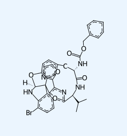 CC(C)[C@@H]1NC(=O)[C@@H](NC(=O)OCc2ccccc2)Cc2ccc3c(c2)C2(c4cccc(Br)c4N[C@H]2O3)c2oc1nc2-c1ncco1